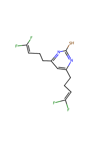 FC(F)=CCCc1cc(CCC=C(F)F)nc(S)n1